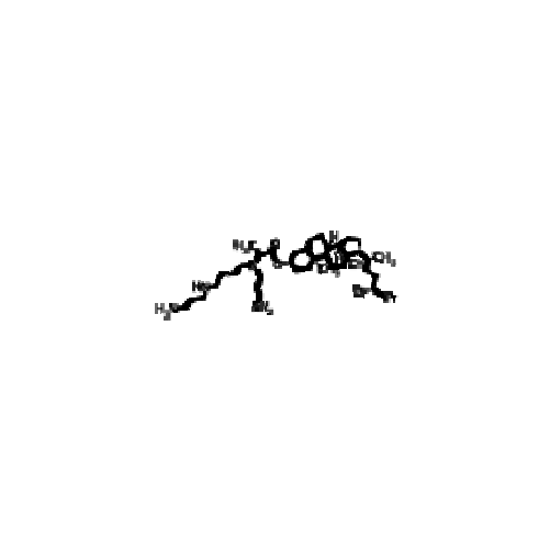 CC[C@H](CC[C@@H](C)[C@H]1CC[C@H]2[C@@H]3CC=C4C[C@@H](OC(=O)C(C)N(CCCN)CCCCNCCCN)CC[C@]4(C)C3CC[C@]12C)C(C)C